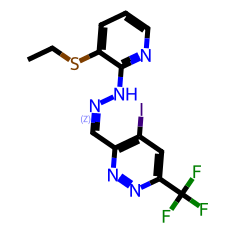 CCSc1cccnc1N/N=C\c1nnc(C(F)(F)F)cc1I